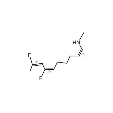 CN/C=C\CCC/C=C(F)\C=C(/C)F